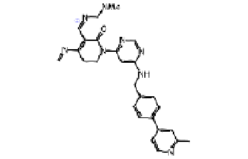 C=NC1=C(/C=N\CNC)C(=O)N(c2cc(NCc3ccc(-c4ccnc(C)c4)cc3)ncn2)CC1